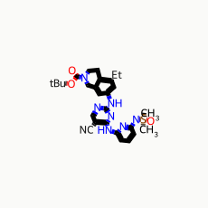 CCc1cc(Nc2ncc(C#N)c(Nc3cccc(N=S(C)(C)=O)n3)n2)cc2c1CCN(C(=O)OC(C)(C)C)C2